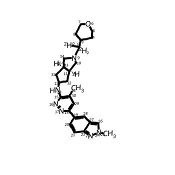 [2H]C([2H])(C1CCOCC1)N1C[C@H]2CC(Nc3nnc(-c4ccc5nn(C)cc5c4)cc3C)C[C@H]2C1